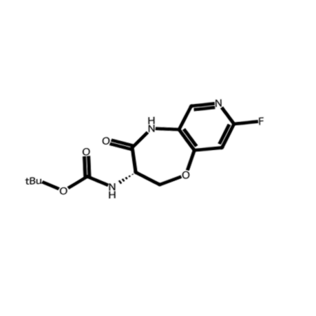 CC(C)(C)OC(=O)N[C@H]1COc2cc(F)ncc2NC1=O